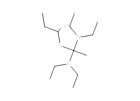 CCC([SiH3])NC(C)(N(CC)CC)N(CC)CC